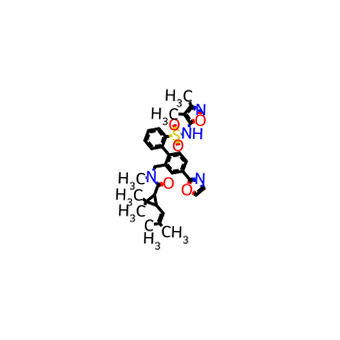 CC(C)=CC1C(C(=O)N(C)Cc2cc(-c3ncco3)ccc2-c2ccccc2S(=O)(=O)Nc2onc(C)c2C)C1(C)C